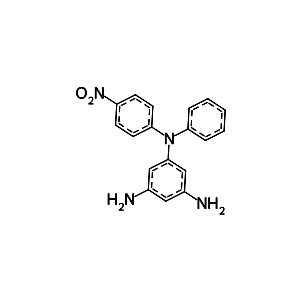 Nc1cc(N)cc(N(c2ccccc2)c2ccc([N+](=O)[O-])cc2)c1